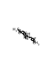 CCOC(=O)C1CCc2nc3sc4c(NCCc5ccc(OC)c(F)c5)ncnc4c3cc2C1